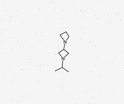 CC(C)N1CC(N2CCC2)C1